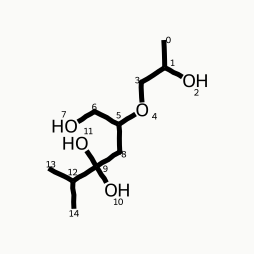 CC(O)COC(CO)CC(O)(O)C(C)C